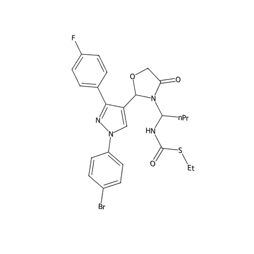 CCCC(NC(=O)SCC)N1C(=O)COC1c1cn(-c2ccc(Br)cc2)nc1-c1ccc(F)cc1